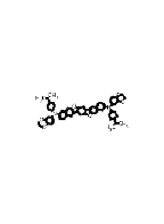 CC(C)c1ccc(N(c2ccc3c(c2)OCCO3)c2ccc3cc4c(cc3c2)oc2cc3c(cc24)oc2cc4cc(N(c5ccc(C(C)C)cc5)c5ccc6c(c5)OCCO6)ccc4cc23)cc1